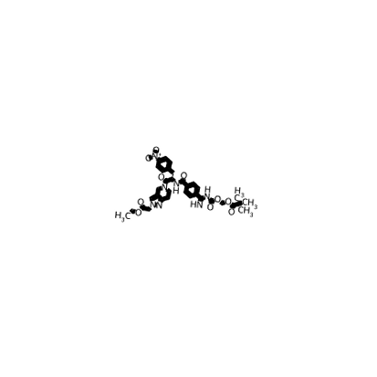 CCOC(=O)Cn1cc2c(n1)CCN(C(=O)[C@H](Cc1ccc([N+](=O)[O-])cc1)NC(=O)c1ccc(C(=N)NC(=O)OCOC(=O)C(C)(C)C)cc1)C2